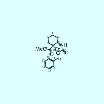 CCC1(C(=O)OC)CCCCC1NC(=O)OCc1ccccc1